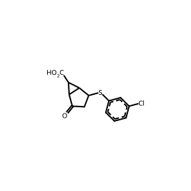 O=C(O)C1C2C(=O)CC(Sc3cccc(Cl)c3)C12